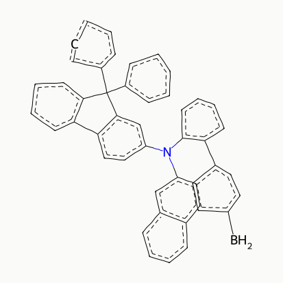 Bc1ccc(-c2ccccc2N(c2ccc3c(c2)C(c2ccccc2)(c2ccccc2)c2ccccc2-3)c2ccc3ccccc3c2)cc1